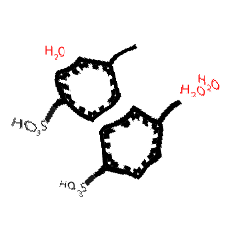 Cc1ccc(S(=O)(=O)O)cc1.Cc1ccc(S(=O)(=O)O)cc1.O.O.O